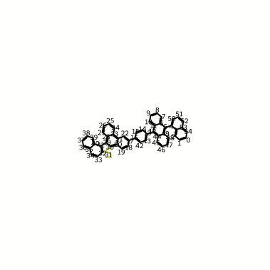 c1ccc2c(-c3c4ccccc4c(-c4ccc(-c5ccc6c(c5)c5ccccc5c5c6sc6ccc7ccccc7c65)cc4)c4ccccc34)cccc2c1